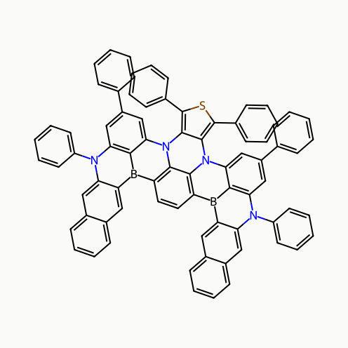 c1ccc(-c2cc3c4c(c2)N2c5c(ccc6c5N(c5cc(-c7ccccc7)cc7c5B6c5cc6ccccc6cc5N7c5ccccc5)c5c(-c6ccccc6)sc(-c6ccccc6)c52)B4c2cc4ccccc4cc2N3c2ccccc2)cc1